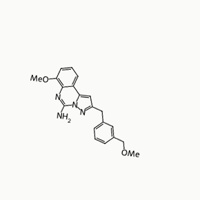 COCc1cccc(Cc2cc3c4cccc(OC)c4nc(N)n3n2)c1